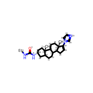 CCNC(=O)N[C@@H]1CC[C@@]2(C)C(CCC3C2CC[C@]2(C)C(n4ccnc4)=CCC32)C1